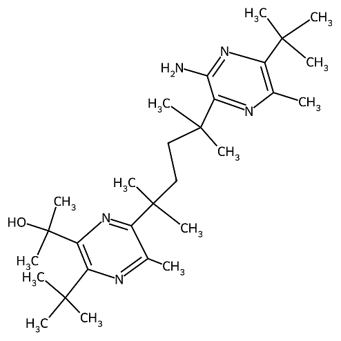 Cc1nc(C(C)(C)CCC(C)(C)c2nc(C(C)(C)O)c(C(C)(C)C)nc2C)c(N)nc1C(C)(C)C